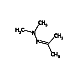 CC(C)=PN(C)C